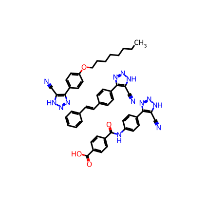 CCCCCCCCOc1ccc(-c2nn[nH]c2C#N)cc1.N#Cc1[nH]nnc1-c1ccc(C=Cc2ccccc2)cc1.N#Cc1[nH]nnc1-c1ccc(NC(=O)c2ccc(C(=O)O)cc2)cc1